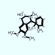 COc1cc2c(cc1OC)C(C1(C)C=CC=CC1C)N(C)CC2.Cl